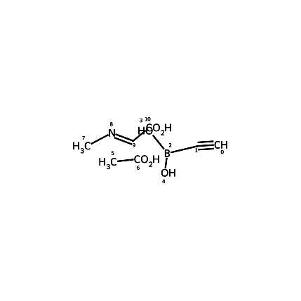 C#CB(O)O.CC(=O)O.CN=CC(=O)O